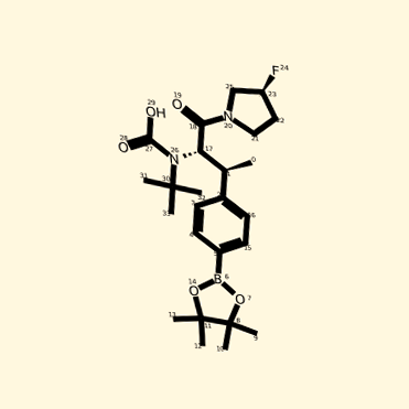 C[C@@H](c1ccc(B2OC(C)(C)C(C)(C)O2)cc1)[C@@H](C(=O)N1CC[C@H](F)C1)N(C(=O)O)C(C)(C)C